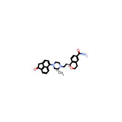 C[C@@H]1CN(c2ccc3c4c(cccc24)C(=O)C3)CCN1CC[C@@H]1OCCc2cc(C(N)=O)ccc21